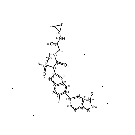 Cc1cc2nc(C(C(=O)NCC(=O)NC3CC3)S(C)(=O)=O)sc2cc1-c1ccc2cnn(C)c2c1